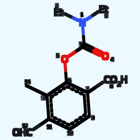 CCN(CC)C(=O)Oc1c(C(=O)O)ccc(C=O)c1C